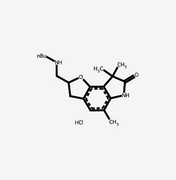 CCCCNCC1Cc2cc(C)c3c(c2O1)C(C)(C)C(=O)N3.Cl